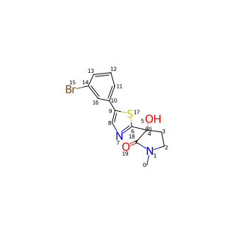 CN1CC[C@](O)(c2ncc(-c3cccc(Br)c3)s2)C1=O